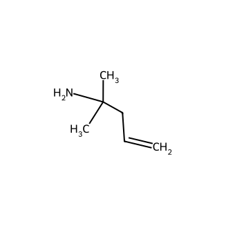 C=CCC(C)(C)N